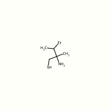 CCC(C)C(C)(N)CS